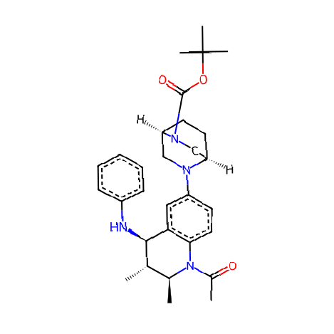 CC(=O)N1c2ccc(N3C[C@H]4CC[C@@H]3CN4C(=O)OC(C)(C)C)cc2[C@H](Nc2ccccc2)[C@@H](C)[C@@H]1C